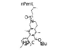 CCCCCC(C)CC[S+]([O-])N1CCc2c(C)c([C@H](OC(C)(C)C)C(=O)O)c(-c3ccc(C)cc3)c(C)c2C1